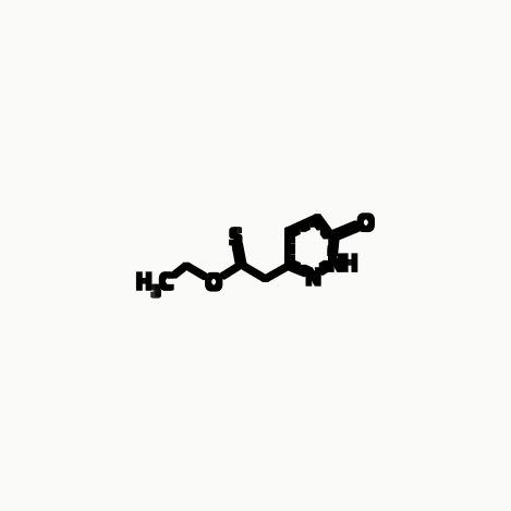 CCOC(=S)Cc1ccc(=O)[nH]n1